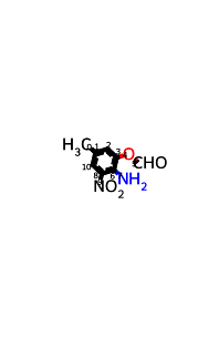 Cc1cc(OC=O)c(N)c([N+](=O)[O-])c1